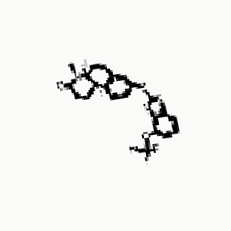 CN1C(=O)CC[C@]2(C)c3ccc(Sc4nc5c(OC(F)(F)F)cccc5s4)cc3CC[C@@H]12